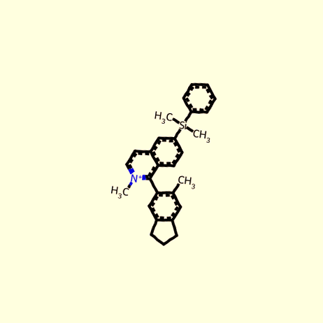 Cc1cc2c(cc1-c1c3ccc([Si](C)(C)c4ccccc4)cc3cc[n+]1C)CCC2